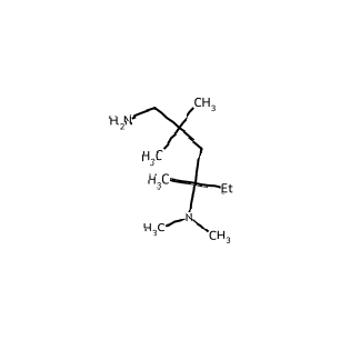 CCC(C)(CC(C)(C)CN)N(C)C